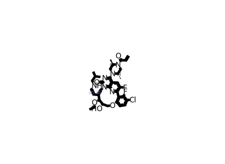 C=CC(=O)N1C[C@H](C)N(c2nc(=O)n3c4nc(c(F)cc24)-c2c(ccc(Cl)c2F)OCC(O)C(OCC)C(/C=C\NCC(C)C)=C\3)C[C@H]1C